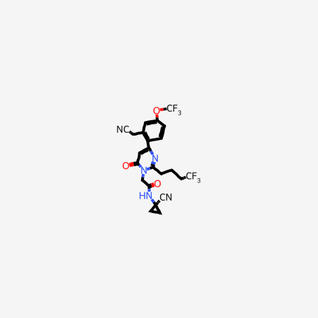 N#CCc1cc(OC(F)(F)F)ccc1-c1cc(=O)n(CC(=O)NC2(C#N)CC2)c(CCCC(F)(F)F)n1